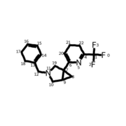 FC(F)(F)C1=NC(C23CC2CN(CC2=CC=CCC2)C3)=CCC1